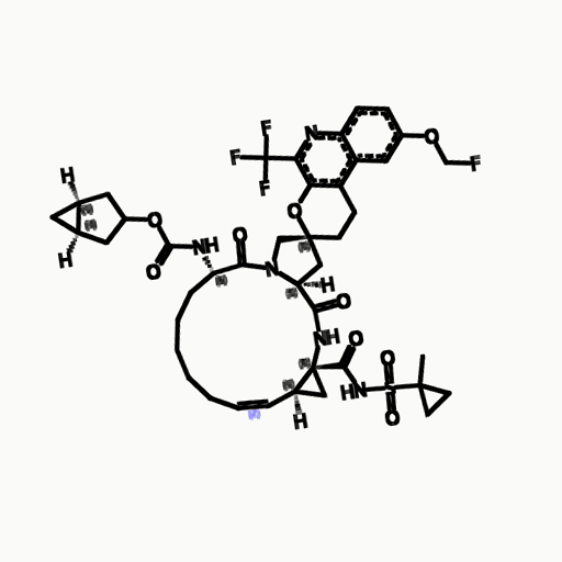 CC1(S(=O)(=O)NC(=O)[C@@]23C[C@H]2/C=C\CCCCC[C@H](NC(=O)OC2C[C@@H]4C[C@@H]4C2)C(=O)N2C[C@@]4(CCc5c(c(C(F)(F)F)nc6ccc(OCF)cc56)O4)C[C@H]2C(=O)N3)CC1